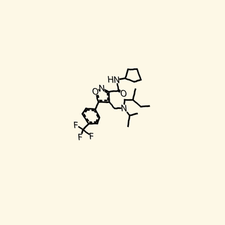 CCC(C)CN(Cc1c(C(=O)NC2CCCC2)noc1-c1ccc(C(F)(F)F)cc1)C(C)C